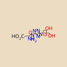 N[C@@H](CCC(=O)O)C(=O)Nc1ncnc2c1ncn2[C@H]1C[C@H](O)[C@@H](CO)O1